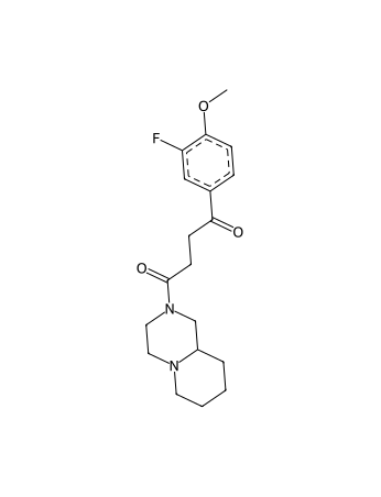 COc1ccc(C(=O)CCC(=O)N2CCN3CCCCC3C2)cc1F